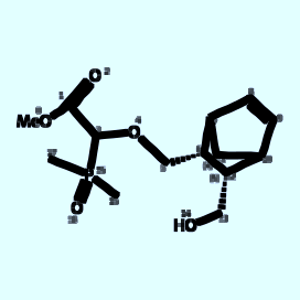 COC(=O)C(OC[C@@H]1C2C=CC(C2)[C@@H]1CO)P(C)(C)=O